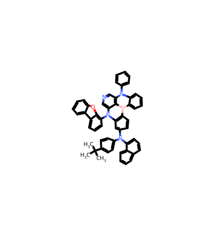 CC(C)(C)c1ccc(N(c2ccc3c(c2)N(c2cccc4c2oc2ccccc24)c2cncc4c2B3c2ccccc2N4c2ccccc2)c2cccc3ccccc23)cc1